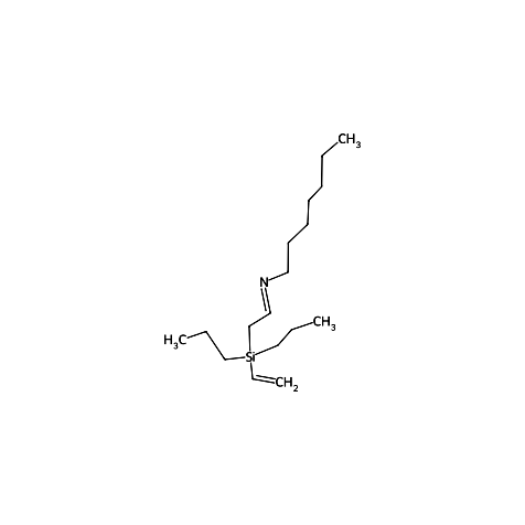 C=C[Si](CC=NCCCCCCC)(CCC)CCC